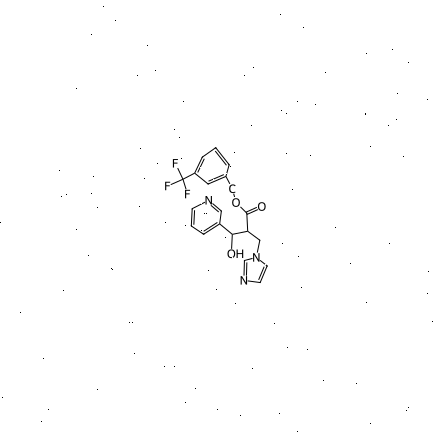 O=C(OCc1cccc(C(F)(F)F)c1)C(Cn1ccnc1)C(O)c1cccnc1